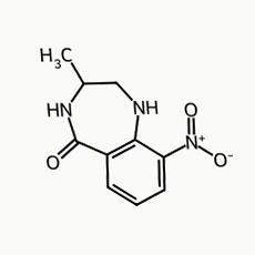 CC1CNc2c(cccc2[N+](=O)[O-])C(=O)N1